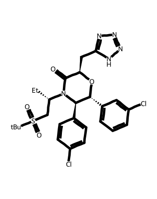 CC[C@@H](CS(=O)(=O)C(C)(C)C)N1C(=O)[C@@H](Cc2nnn[nH]2)O[C@H](c2cccc(Cl)c2)[C@H]1c1ccc(Cl)cc1